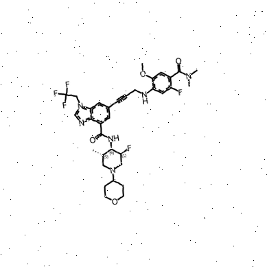 COc1cc(C(=O)N(C)C)c(F)cc1NCC#Cc1cc(C(=O)N[C@@H]2[C@@H](C)CN(C3CCOCC3)C[C@@H]2F)c2ncn(CC(F)(F)F)c2c1